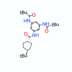 CC(C)(C)C(=O)Nc1cc(NC(=O)C(C)(C)C)cc(NC(=O)[C@H]2CC[C@H](C(C)(C)C)CC2)c1